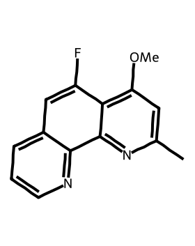 COc1cc(C)nc2c1c(F)cc1cccnc12